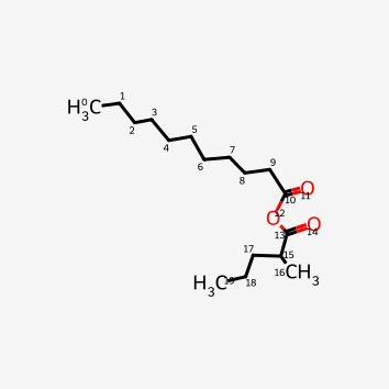 CCCCCCCCCCC(=O)OC(=O)C(C)CCC